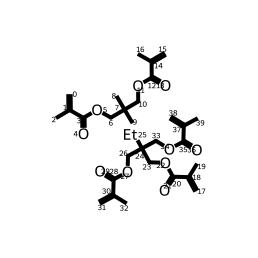 C=C(C)C(=O)OCC(C)(C)COC(=O)C(=C)C.C=C(C)C(=O)OCC(CC)(COC(=O)C(=C)C)COC(=O)C(=C)C